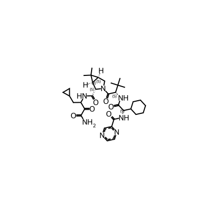 CC(C)(C)[C@H](NC(=O)[C@@H](NC(=O)c1cnccn1)C1CCCCC1)C(=O)N1C[C@H]2[C@@H]([C@H]1C(=O)NC(CC1CC1)C(=O)C(N)=O)C2(C)C